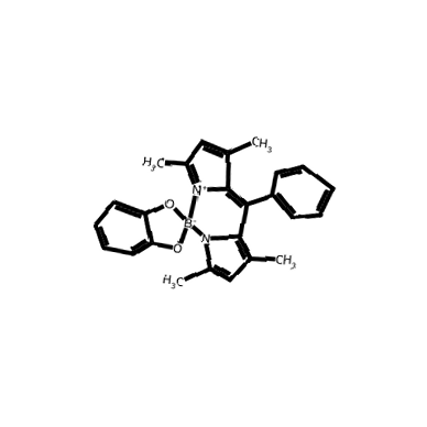 CC1=CC(C)=[N+]2C1=C(c1ccccc1)c1c(C)cc(C)n1[B-]21Oc2ccccc2O1